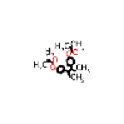 C=C(C)C(=O)Oc1ccc(C(CC)=C(CC)c2ccc(OC(=O)C(=C)C)cc2)cc1